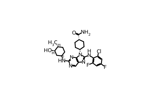 C[C@@H]1CC[C@@H](Nc2ncc3nc(Nc4c(F)cc(F)cc4Cl)n([C@H]4CC[C@@H](C(N)=O)CC4)c3n2)C[C@H]1O